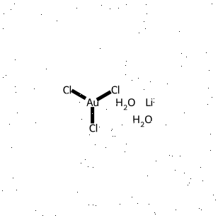 O.O.[Cl][Au]([Cl])[Cl].[Li]